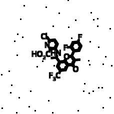 Cc1c(-c2ccc(F)cc2F)oc2c(C(C)Nc3ccc(Cl)nc3C(=O)O)cc(C(F)(F)F)cc2c1=O